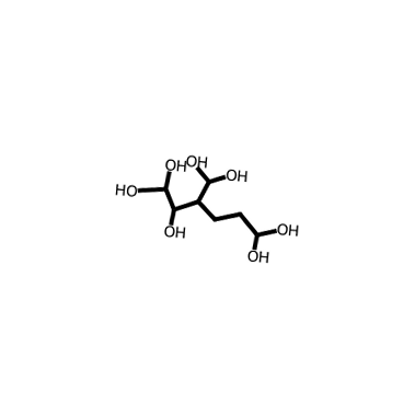 OC(O)CCC(C(O)O)C(O)C(O)O